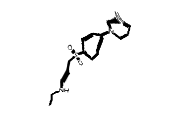 CCNC=CCS(=O)(=O)c1ccc(N2C=CC=NC2)cc1